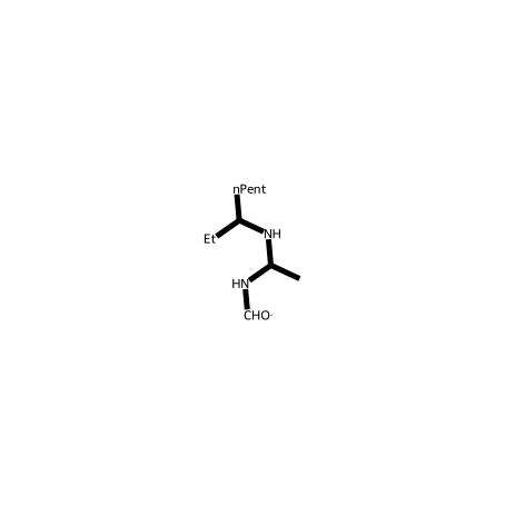 CCCCCC(CC)NC(C)N[C]=O